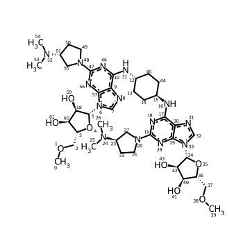 COC[C@H]1O[C@@H](n2cnc3c(N[C@H]4CC[C@H](Nc5nc(N6CC[C@@H](N(C)C)C6)nc6c5ncn6[C@@H]5O[C@H](COC)[C@@H](O)[C@H]5O)CC4)nc(N4CC[C@@H](N(C)C)C4)nc32)[C@H](O)[C@@H]1O